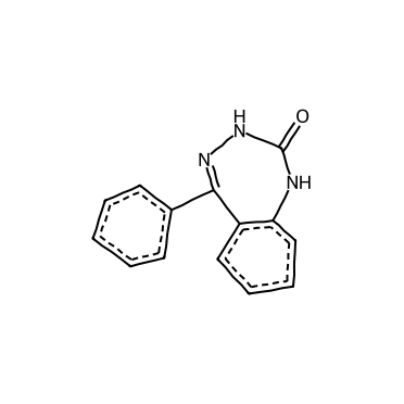 O=C1NN=C(c2ccccc2)c2ccccc2N1